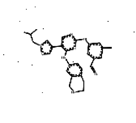 Cc1cc(C=O)cc(Nc2ncc(-c3cnn(CC(C)C)c3)c(Nc3ccc4c(c3)CNCC4)n2)c1